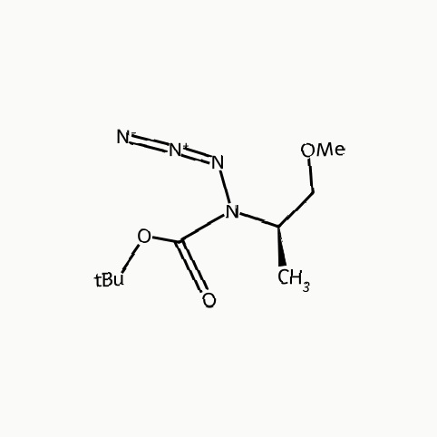 COC[C@@H](C)N(N=[N+]=[N-])C(=O)OC(C)(C)C